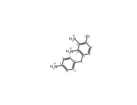 CCc1ccc(Cc2ccc(N)cc2)c(N)c1N